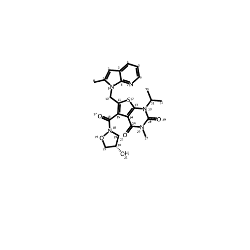 Cc1cc2cccnc2n1Cc1sc2c(c1C(=O)N1C[C@H](O)CO1)c(=O)n(C)c(=O)n2C(C)C